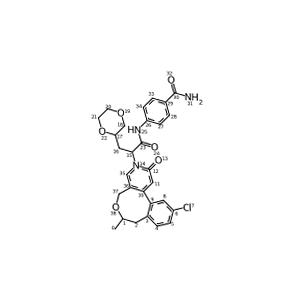 CC1Cc2ccc(Cl)cc2-c2cc(=O)n(C(CC3COCCO3)C(=O)Nc3ccc(C(N)=O)cc3)cc2CO1